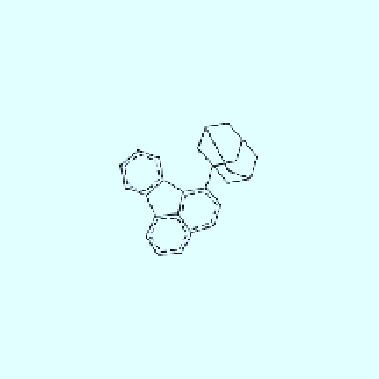 c1ccc2c(c1)-c1cccc3ccc(C45CC6CC(CC(C6)C4)C5)c-2c13